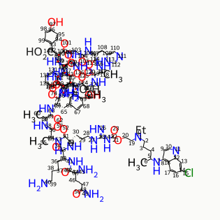 CCN(CCCC(C)Nc1ccnc2cc(Cl)ccc12)CCOC(=O)NC(=N)NCCC[C@H](NC(=O)[C@H](CCCCN)NC(=O)[C@@H](N)CCC(N)=O)C(=O)N[C@@H](C)C(=O)N[C@@H](C)C(=O)N[C@@H](Cc1ccc(O)cc1)C(=O)N[C@@H](CC(=O)O)C(=O)N[C@@H](CCC(N)=O)C(=O)N[C@@H](Cc1ccc(O)cc1)C(=O)NCC(=O)N[C@@H](Cc1cnc[nH]1)C(=O)N[C@@H](C)C(=O)N[C@@H](C)C(=O)N[C@@H](Cc1ccccc1)C(=O)N[C@@H](CCC(=O)O)C(N)=O